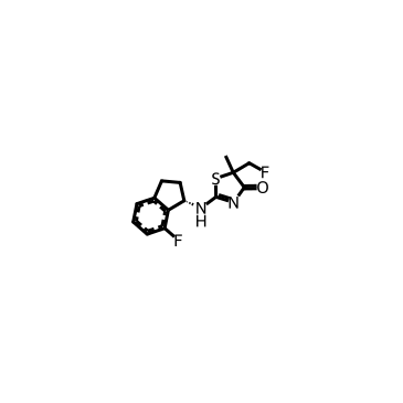 CC1(CF)SC(N[C@H]2CCc3cccc(F)c32)=NC1=O